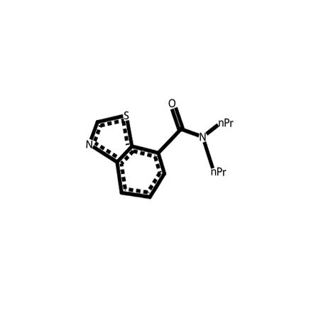 CCCN(CCC)C(=O)c1cccc2ncsc12